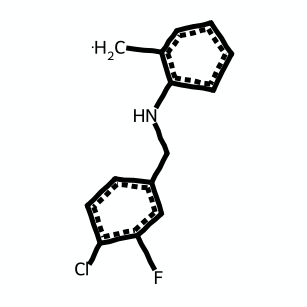 [CH2]c1ccccc1NCc1ccc(Cl)c(F)c1